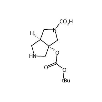 CC(C)(C)OC(=O)O[C@]12CNC[C@H]1CN(C(=O)O)C2